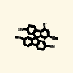 CC(C)(C)c1ccc2c(c1)C1(c3cc(C(C)(C)C)ccc3-2)c2cc(C(C)(C)C)ccc2-c2c(Br)cc(C(C)(C)C)cc21